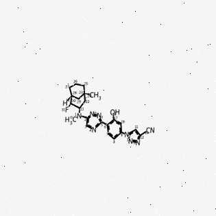 CN(c1cnc(-c2ccc(-n3cc(C#N)nn3)cc2O)nn1)[C@@H]1C[C@@]2(C)CCC[C@H](C2)[C@@H]1F